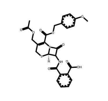 COc1ccc(COC(=O)C2=C(COC(C)=O)CS[C@@H]3C(NC(=O)c4ccccc4C(=O)O)C(=O)N23)cc1